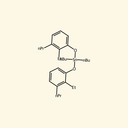 CCC[CH2][Sn]([CH2]CCC)([O]c1cccc(CCC)c1CC)[O]c1cccc(CCC)c1CC